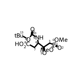 COP(=O)(CC(=O)C(CC(=O)O)NC(=O)OC(C)(C)C)OC